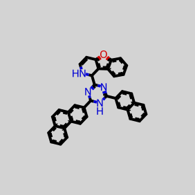 C1=Cc2oc3ccccc3c2C(C2=NC(c3ccc4c(ccc5ccccc54)c3)NC(c3ccc4ccccc4c3)=N2)N1